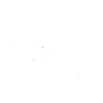 C#CC(=O)N1[C@@H](c2ccc(S(=O)(=O)NC3CCC3)cc2)c2ccc(OC)cc2C[C@@H]1NCCCC